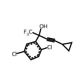 OC(C#CC1CC1)(c1cc(Cl)ccc1Cl)C(F)(F)F